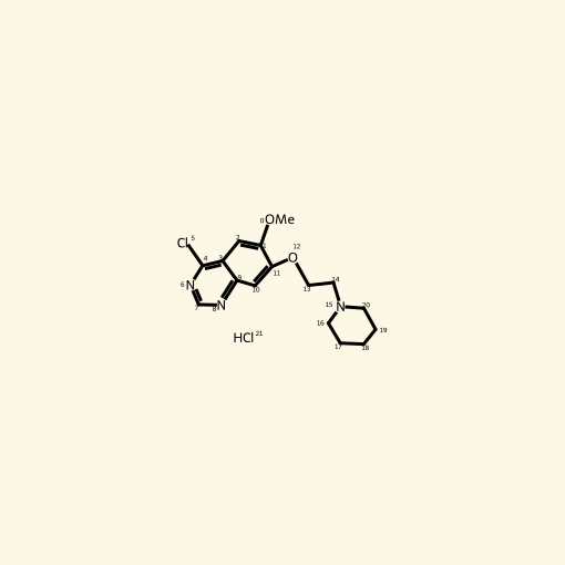 COc1cc2c(Cl)ncnc2cc1OCCN1CCCCC1.Cl